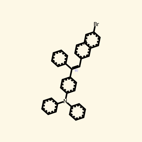 Brc1ccc2cc(/C=C(\c3ccccc3)c3ccc(N(c4ccccc4)c4ccccc4)cc3)ccc2c1